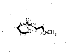 COCCOP1(=O)OCCCO1